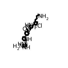 C[C@H](N)CCCc1cc(Cl)c(F)c(-c2cc3cn(-c4ccc([C@@H]5CCC[C@@H](C[C@@H](CF)NC(=N)N)N5)cc4)c(=O)nc3[nH]2)c1